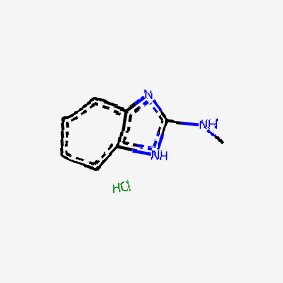 CNc1nc2ccccc2[nH]1.Cl